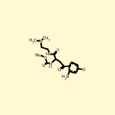 CN(C)CCNC(=O)C(CC(=O)c1ccc(Cl)cc1N)NC(=O)OC(C)(C)C